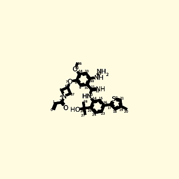 C=CC(=O)N1CC(Oc2cc(C(=N)Nc3cc(-c4cc(C)cs4)ccc3C(C)(C)O)c(NN)cc2OC)C1